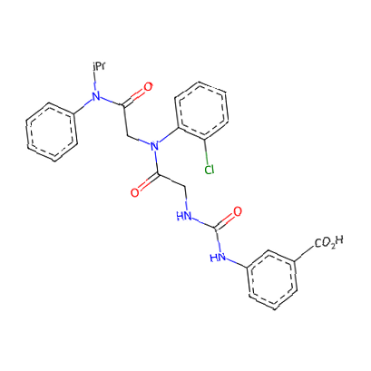 CC(C)N(C(=O)CN(C(=O)CNC(=O)Nc1cccc(C(=O)O)c1)c1ccccc1Cl)c1ccccc1